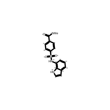 CNC(=O)c1ccc(S(=O)(=O)Nc2cccc3cc[nH]c23)cc1